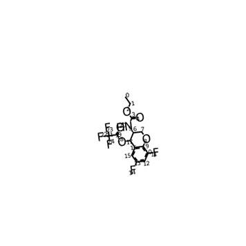 CCOC(=O)N[C@H]1COc2c(F)cc(F)cc2C1OC(=O)C(F)(F)F